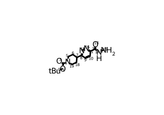 CC(C)(C)OC(=O)N1CCC(c2ccc(C(=O)NN)nn2)CC1